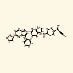 CC#CC(=O)N1CCC(N[C@H]2COc3cc(-c4nc5ccc(-n6ccnn6)nn5c4-c4ccccc4)ccc32)CC1